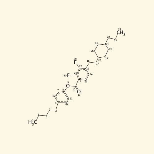 CCCCCc1ccc(OC(=O)c2ccc(CCC3CCC(CCC)CC3)c(F)c2F)cc1